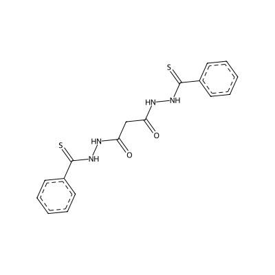 O=C(CC(=O)NNC(=S)c1ccccc1)NNC(=S)c1ccccc1